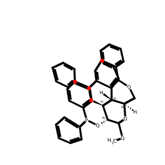 COC1O[C@@H]2COC(c3ccccc3)O[C@H]2[C@H](OP(c2ccccc2)c2ccccc2)[C@H]1OP(c1ccccc1)c1ccccc1